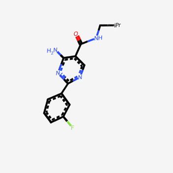 CC(C)CNC(=O)c1cnc(-c2cccc(F)c2)nc1N